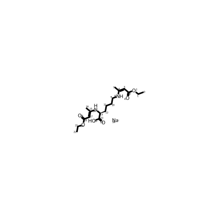 CCOC(=O)C=C(C)NCCCC[C@H](NC(C)=CC(=O)OCC)C(=O)O.[Na]